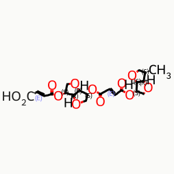 C[C@H]1CO[C@H]2[C@@H]1OC[C@@H]2OC(=O)/C=C/C(=O)O[C@H]1CO[C@H]2[C@@H]1OC[C@@H]2OC(=O)/C=C/C(=O)O